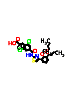 CCCCOC(CCC)c1cccc(-c2csc(NC(=O)c3cc(Cl)c(C=C(C)C(=O)O)c(Cl)c3)n2)c1OC